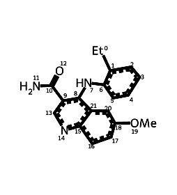 CCc1ccccc1Nc1c(C(N)=O)cnc2ccc(OC)cc12